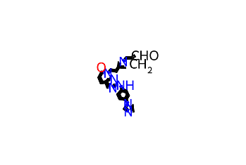 C=C(C=O)CN1CC(CCn2c(=O)ccc3cnc(Nc4ccc(-n5ccnc5)cc4)nc32)C1